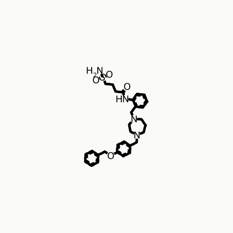 NS(=O)(=O)CCCC(=O)Nc1ccccc1CN1CCCN(Cc2ccc(OCc3ccccc3)cc2)CC1